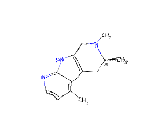 Cc1ccnc2[nH]c3c(c12)C[C@H](C)N(C)C3